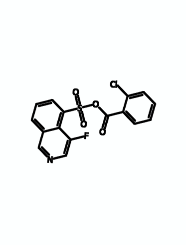 O=C(OS(=O)(=O)c1cccc2cncc(F)c12)c1ccccc1Cl